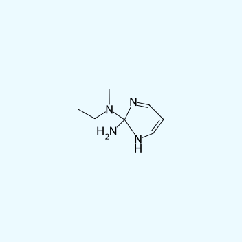 CCN(C)C1(N)N=CC=CN1